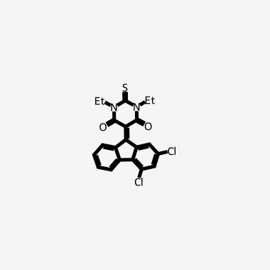 CCN1C(=O)C(=C2c3ccccc3-c3c(Cl)cc(Cl)cc32)C(=O)N(CC)C1=S